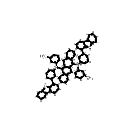 Cc1cccc(N(c2cccc(-c3cccc4c3oc3ccccc34)c2)c2c3ccccc3cc3c(N(c4cccc(C)c4)c4cccc(-c5cccc6c5oc5ccccc56)c4)c4ccccc4cc23)c1